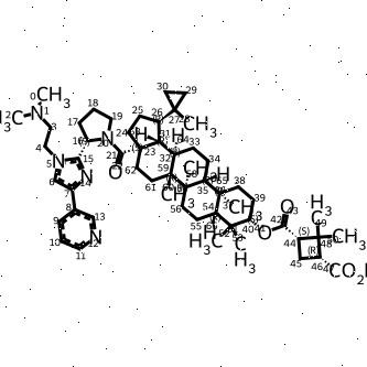 CN(C)CCn1cc(-c2cccnc2)nc1[C@@H]1CCCN1C(=O)[C@]12CC[C@@H](C3(C)CC3)[C@@H]1[C@H]1CC[C@@H]3[C@@]4(C)CC[C@H](OC(=O)[C@H]5C[C@@H](C(=O)O)C5(C)C)C(C)(C)[C@@H]4CC[C@@]3(C)[C@]1(C)CC2